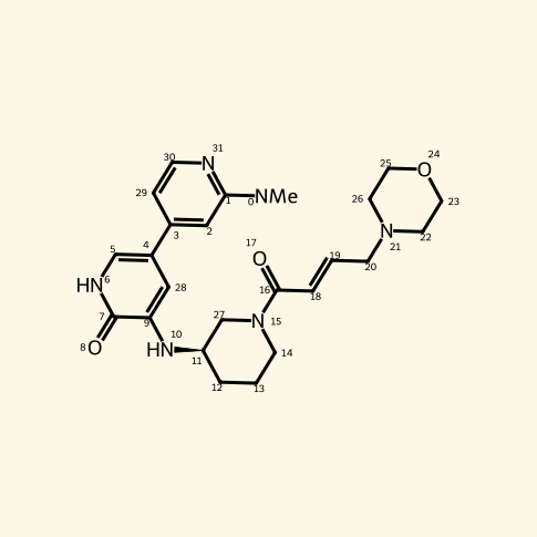 CNc1cc(-c2c[nH]c(=O)c(N[C@@H]3CCCN(C(=O)/C=C/CN4CCOCC4)C3)c2)ccn1